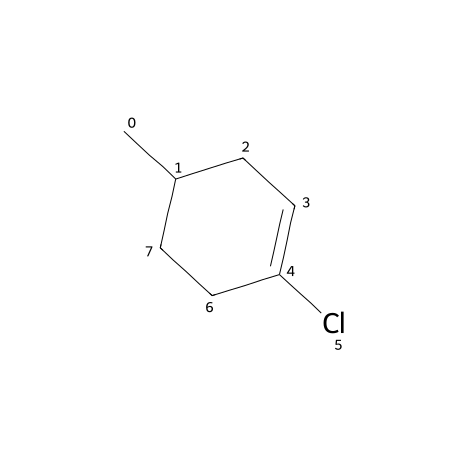 CC1CC=C(Cl)CC1